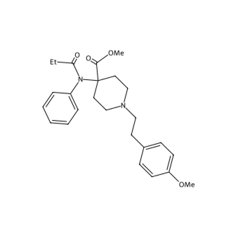 CCC(=O)N(c1ccccc1)C1(C(=O)OC)CCN(CCc2ccc(OC)cc2)CC1